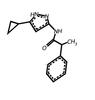 CC(C(=O)Nc1cc(C2CC2)[nH]n1)c1[c]cccc1